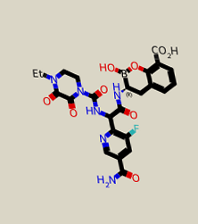 CCN1CCN(C(=O)NC(C(=O)N[C@H]2Cc3cccc(C(=O)O)c3OB2O)c2ncc(C(N)=O)cc2F)C(=O)C1=O